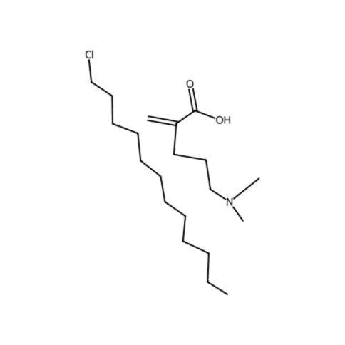 C=C(CCCN(C)C)C(=O)O.CCCCCCCCCCCCCl